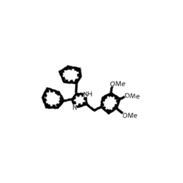 COc1cc(Cc2nc(-c3ccccc3)c(-c3ccccc3)[nH]2)cc(OC)c1OC